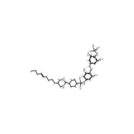 CCC/C=C/CCCCC1COC(C2CCC(C(F)(F)Oc3cc(F)c(OCc4cc(F)c(OC(F)(F)F)c(F)c4)c(F)c3)CC2)OC1